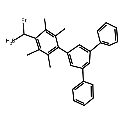 BC(CC)c1c(C)c(C)c(-c2cc(-c3ccccc3)cc(-c3ccccc3)c2)c(C)c1C